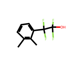 Cc1cccc(C(F)(F)C(O)(F)F)c1C